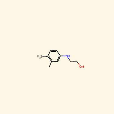 Bc1ccc(NCCO)cc1C